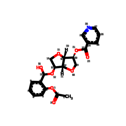 CC(=O)Oc1ccccc1C(O)O[C@H]1CO[C@H]2[C@@H]1OC[C@H]2OC(=O)c1cccnc1